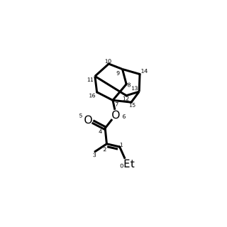 CCC=C(C)C(=O)OC12CC3CC(CC(C3)C1)C2